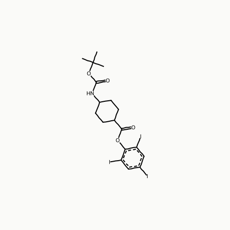 CC(C)(C)OC(=O)NC1CCC(C(=O)Oc2c(I)cc(I)cc2I)CC1